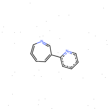 C1=CC=C(c2ccccn2)C=NC=1